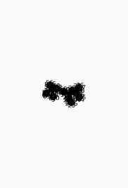 c1ccc(-c2c(-c3ccccc3)c3cc(-c4ccc(N(c5ccc6ccccc6c5)c5ccc6c7ccccc7n(-c7ccccc7)c6c5)cc4)ccc3c3ccccc23)cc1